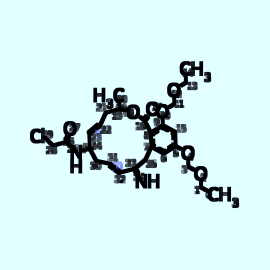 CCOCOc1cc2c(c(OCOCC)c1)C(=O)O[C@H](C)C/C=C/[C@H](NC(=O)CCl)C/C=C/C(=N)C2